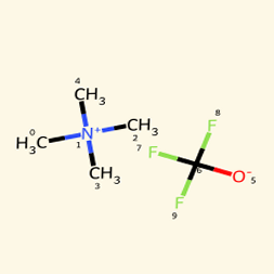 C[N+](C)(C)C.[O-]C(F)(F)F